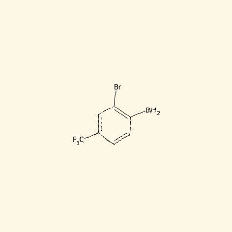 Bc1ccc(C(F)(F)F)cc1Br